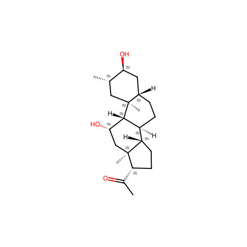 CC(=O)[C@H]1CC[C@H]2[C@@H]3CC[C@H]4C[C@H](O)[C@@H](C)C[C@]4(C)[C@H]3[C@@H](O)C[C@]12C